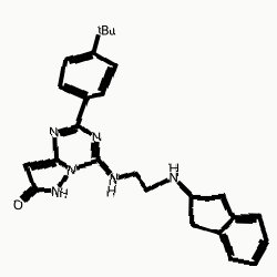 CC(C)(C)c1ccc(-c2nc(NCCNC3Cc4ccccc4C3)n3[nH]c(=O)cc3n2)cc1